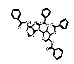 O=C(Nc1ncnc2c1ncn2C1OCC(OC(=O)c2ccccc2)C(OC(=O)c2ccccc2)C1OC(=O)c1ccccc1)c1ccccc1